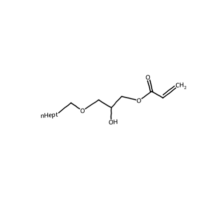 C=CC(=O)OCC(O)COCCCCCCCC